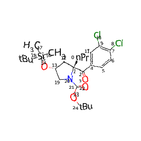 CCC[C@]1(C(=O)c2ccc(Cl)c(Cl)c2)C[C@@H](O[Si](C)(C)C(C)(C)C)CN1C(=O)OC(C)(C)C